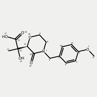 COc1ccc(CN2CCO[C@H](C(C)(O)C(=O)O)C2=O)cc1